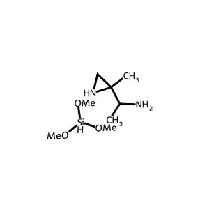 CC(N)C1(C)CN1.CO[SiH](OC)OC